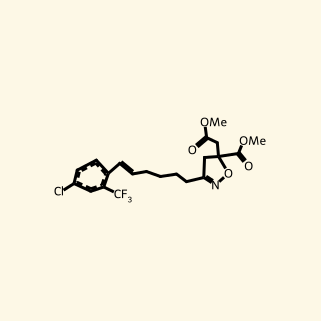 COC(=O)CC1(C(=O)OC)CC(CCCCC=Cc2ccc(Cl)cc2C(F)(F)F)=NO1